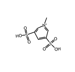 C[n+]1cc(S(=O)(=O)O)cc(S(=O)(=O)O)c1